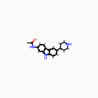 CC(=O)Nc1ccc2c(c1)[nH]c1ccc(C3CCNCC3)cc12